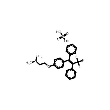 CN(C)CCOc1ccc(/C(=C(\c2ccccc2)C(F)(F)F)c2ccccc2)cc1.O=S(=O)(O)O